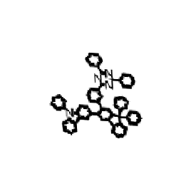 c1ccc(-c2nc(-c3ccccc3)nc(-c3cccc(-c4cc5c(cc4-c4ccc6c(c4)c4ccccc4n6-c4ccccc4)-c4ccccc4C5(c4ccccc4)c4ccccc4)c3)n2)cc1